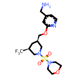 NCc1ccnc(OC[C@@H]2C[C@H](C(F)(F)F)CN(S(=O)(=O)N3CCOCC3)C2)c1